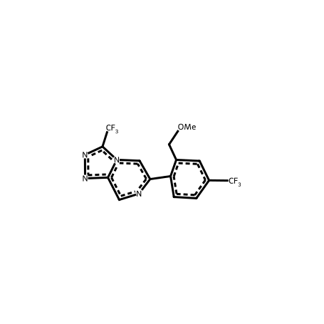 COCc1cc(C(F)(F)F)ccc1-c1cn2c(C(F)(F)F)nnc2cn1